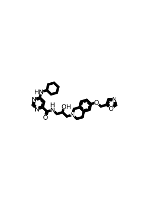 O=C(NCC(O)CN1CCc2cc(OCc3cnco3)ccc2C1)c1cc(NC2CCCCC2)ncn1